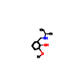 CCOc1cccc(CN[C@H](CC)C(C)(C)C)c1O